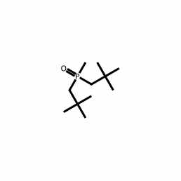 CC(C)(C)CP(C)(=O)CC(C)(C)C